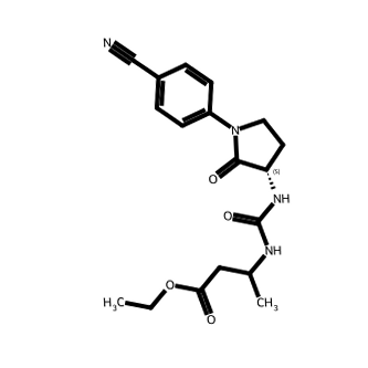 CCOC(=O)CC(C)NC(=O)N[C@H]1CCN(c2ccc(C#N)cc2)C1=O